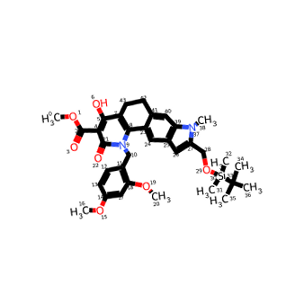 COC(=O)c1c(O)c2c(n(Cc3ccc(OC)cc3OC)c1=O)-c1cc3cc(CO[Si](C)(C)C(C)(C)C)n(C)c3cc1CC2